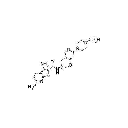 Cc1ccc2c(N)c(C(=O)N[C@@H]3COc4cc(N5CCN(C(=O)O)CC5)ncc4C3)sc2n1